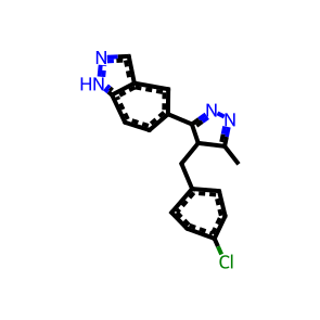 CC1=NN=C(c2ccc3[nH]ncc3c2)C1Cc1ccc(Cl)cc1